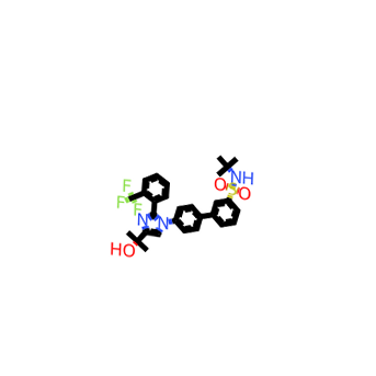 CC(C)(C)NS(=O)(=O)c1cccc(-c2ccc(-n3cc(C(C)(C)O)nc3-c3ccccc3C(F)(F)F)cc2)c1